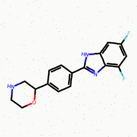 Fc1cc(F)c2nc(-c3ccc(C4CNCCO4)cc3)[nH]c2c1